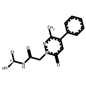 CCC[C@@H](CC)NC(=O)Cn1nc(C)c(-c2ccccc2)cc1=O